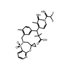 Cc1ccc(C(c2ccn(C(=N)C(F)F)c(=N)c2C)C(C)(C)C(=O)O)cc1CN1CC2(CC2)Oc2ncccc2S1(=O)=O